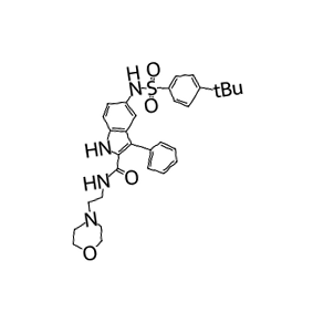 CC(C)(C)c1ccc(S(=O)(=O)Nc2ccc3[nH]c(C(=O)NCCN4CCOCC4)c(-c4ccccc4)c3c2)cc1